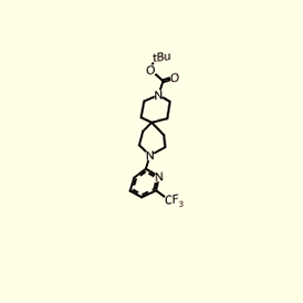 CC(C)(C)OC(=O)N1CCC2(CC1)CCN(c1cccc(C(F)(F)F)n1)CC2